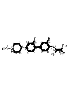 CCC[Si@H]1CC[C@H](c2ccc(-c3ccc(OC(F)=C(F)F)c(F)c3)c(F)c2)CC1